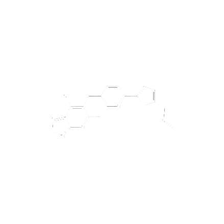 C=NCc1ccc(-c2ccc(Cc3c(C)nc4nonc4c3N)cn2)s1